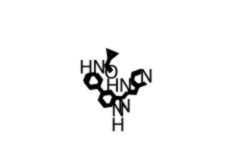 O=C(Nc1c#ccc(-c2ccc3[nH]nc(-c4cc5cnccc5[nH]4)c3c2)c1)C1CC1